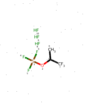 CC(OS(F)(F)F)C(F)(F)F.F.F.F